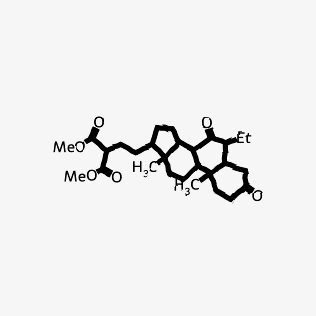 CCC1C(=O)C2C3CCC(CCC(C(=O)OC)C(=O)OC)C3(C)CCC2C2(C)CCC(=O)CC12